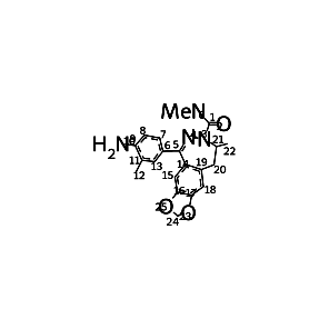 CNC(=O)N1N=C(c2ccc(N)c(C)c2)c2cc3c(cc2CC1C)OCO3